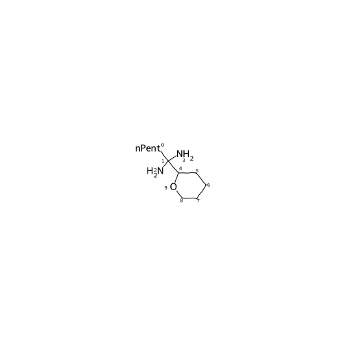 CCCCCC(N)(N)C1CCCCO1